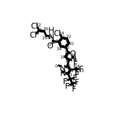 Cn1nc(C(F)(F)C(F)(F)F)c(C(F)(F)F)c1-c1cc(-c2ccc(Cl)c(C(=O)NCC=C(Cl)Cl)c2)on1